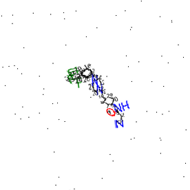 N#CCC(=O)NC1CCC(CCN2CCN(c3ccc(Cl)c(C(F)(F)F)c3)CC2)CC1